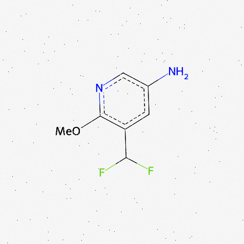 COc1ncc(N)cc1C(F)F